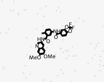 COc1cc2cc(NC(=O)c3cc(NC(=O)c4ccc5c(c4)OC(F)(F)O5)ccc3C)cnc2cc1OC